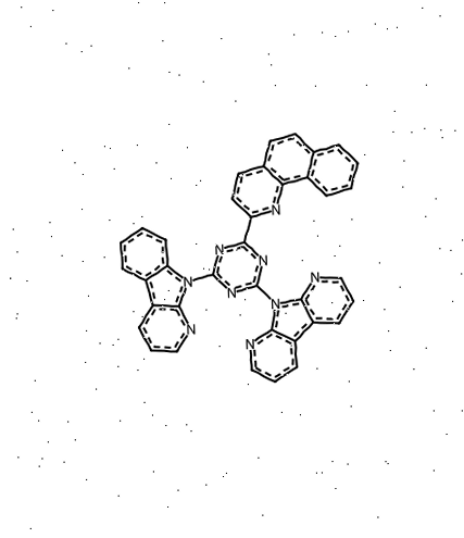 c1ccc2c(c1)ccc1ccc(-c3nc(-n4c5ccccc5c5cccnc54)nc(-n4c5ncccc5c5cccnc54)n3)nc12